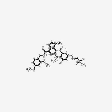 CCc1cc(CNCS(C)(=O)=O)cc(F)c1N(C)c1cc2c(ncn2C)c(C(=O)NCc2ccc(OC)cc2OC)n1